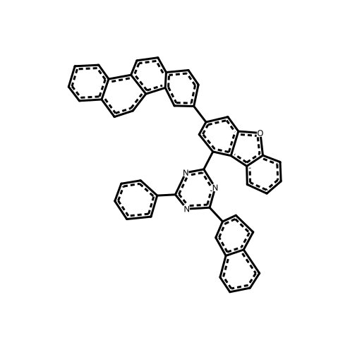 c1ccc(-c2nc(-c3ccc4ccccc4c3)nc(-c3cc(-c4ccc5ccc6c7ccccc7ccc6c5c4)cc4oc5ccccc5c34)n2)cc1